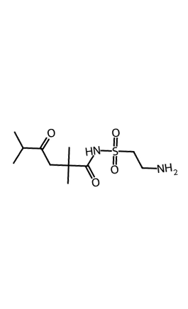 CC(C)C(=O)CC(C)(C)C(=O)NS(=O)(=O)CCN